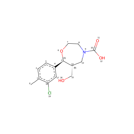 Cc1ccc([C@H]2OCCN(C(=O)O)C[C@@H]2CO)cc1Cl